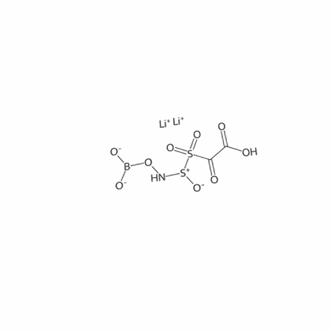 O=C(O)C(=O)S(=O)(=O)[S+]([O-])NOB([O-])[O-].[Li+].[Li+]